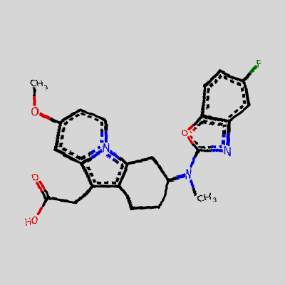 COc1ccn2c3c(c(CC(=O)O)c2c1)CCC(N(C)c1nc2cc(F)ccc2o1)C3